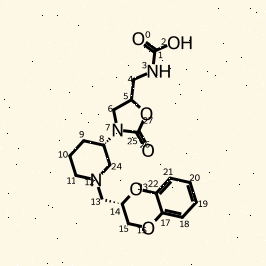 O=C(O)NCC1CN([C@H]2CCCN(C[C@H]3COc4ccccc4O3)C2)C(=O)O1